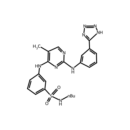 CCCCNS(=O)(=O)c1cccc(Nc2nc(Nc3cccc(-c4nnn[nH]4)c3)ncc2C)c1